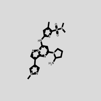 Cc1cc(Nc2cc(N3CCCC3N)nc3c(-c4cnn(C)c4)cnn23)sc1S(=O)(=O)N(C)C